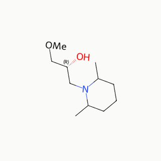 COC[C@H](O)CN1C(C)CCCC1C